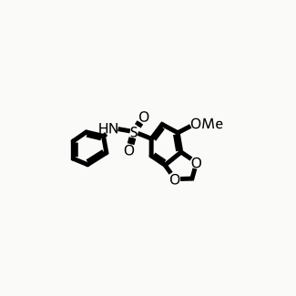 COc1cc(S(=O)(=O)Nc2ccccc2)cc2c1OCO2